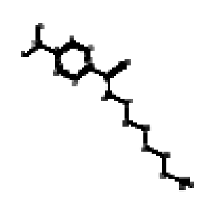 CN(C)c1ccc(C(=O)OCCCCCCN)cc1